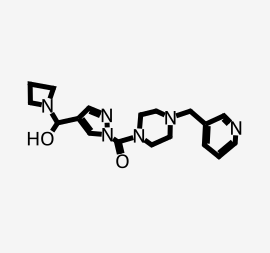 O=C(N1CCN(Cc2cccnc2)CC1)n1cc(C(O)N2CCC2)cn1